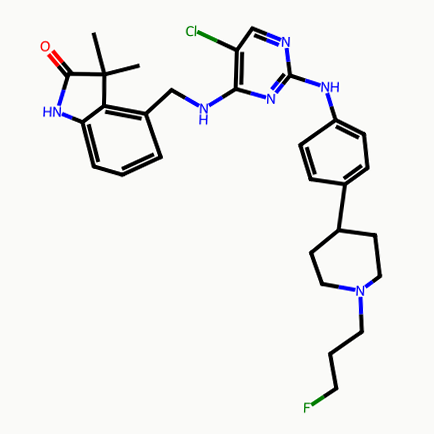 CC1(C)C(=O)Nc2cccc(CNc3nc(Nc4ccc(C5CCN(CCCF)CC5)cc4)ncc3Cl)c21